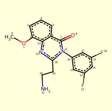 COc1cccc2c(=O)n(-c3cc(F)cc(F)c3)c(CCN)nc12